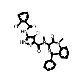 CN1C(=O)C(N(C)C(=O)c2n[nH]c(NC(=O)c3ccccc3Cl)c2Cl)N=C(c2ccccc2)c2ccccc21